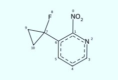 O=[N+]([O-])c1ncccc1C1(F)CC1